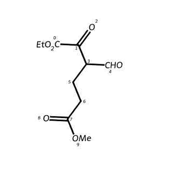 CCOC(=O)C(=O)C(C=O)CCC(=O)OC